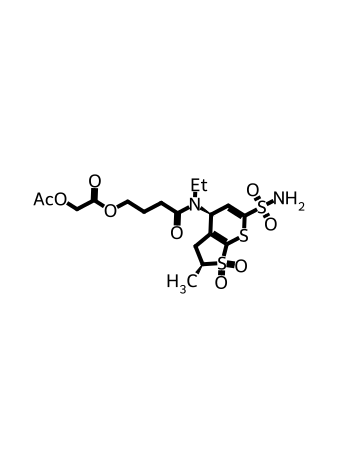 CCN(C(=O)CCCOC(=O)COC(C)=O)[C@H]1C=C(S(N)(=O)=O)SC2=C1C[C@H](C)S2(=O)=O